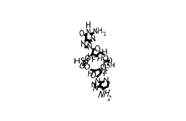 Nc1nc2c(ncn2[C@@H]2O[C@@H]3COP(=O)(S)O[C@H]4[C@H](F)[C@H](n5nnc6c(N)ccnc65)O[C@@H]4COP(=O)(S)O[C@@H]2[C@H]3F)c(=O)[nH]1